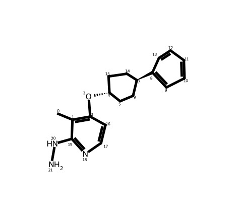 Cc1c(O[C@H]2CC[C@H](c3ccccc3)CC2)ccnc1NN